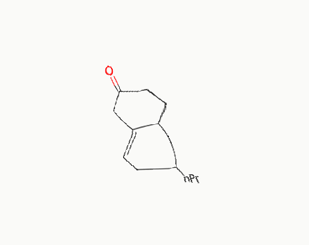 CCCC1CC=C2CC(=O)CCC2C1